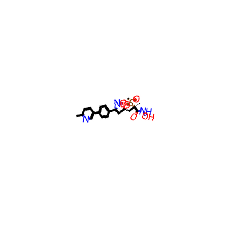 Cc1ccc(-c2ccc(C3=NO[C@@H](C[C@](C)(C(=O)NO)S(C)(=O)=O)C3)cc2)cn1